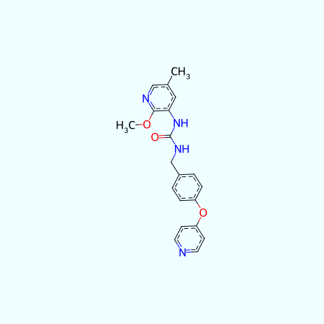 COc1ncc(C)cc1NC(=O)NCc1ccc(Oc2ccncc2)cc1